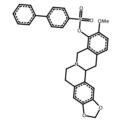 COc1ccc2c(c1OS(=O)(=O)c1ccc(-c3ccccc3)cc1)CN1CCc3cc4c(cc3C1C2)OCO4